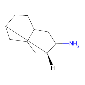 NC1CC2CCC3CC2C[C@@H]13